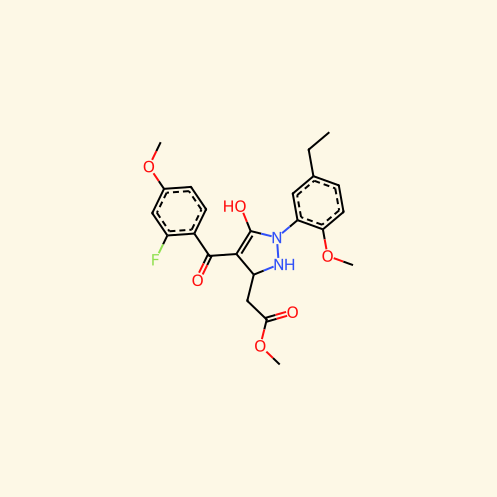 CCc1ccc(OC)c(N2NC(CC(=O)OC)C(C(=O)c3ccc(OC)cc3F)=C2O)c1